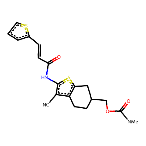 CNC(=O)OCC1CCc2c(sc(NC(=O)C=Cc3cccs3)c2C#N)C1